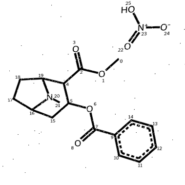 COC(=O)C1C(OC(=O)c2ccccc2)CC2CCC1N2C.O=[N+]([O-])O